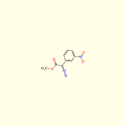 COC(=O)C(=[N+]=[N-])c1cccc([N+](=O)[O-])c1